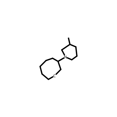 CC1CCCN(C2CCCCCCC2)C1